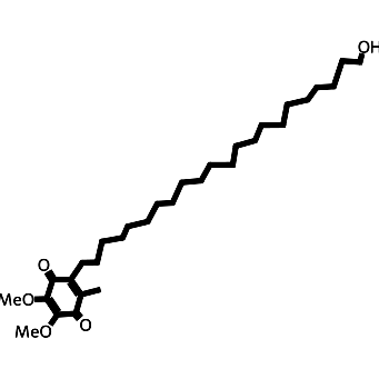 COC1=C(OC)C(=O)C(CCCCCCCCCCCCCCCCCCCCCCO)=C(C)C1=O